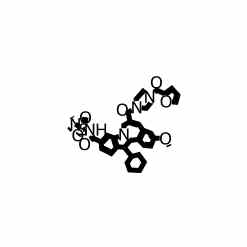 COc1ccc2c(c1)C=C(C(=O)N1CCN(C(=O)c3ccco3)CC1)CN1c3cc(C(=O)NS(=O)(=O)N(C)C)ccc3C(C3CCCCC3)C21